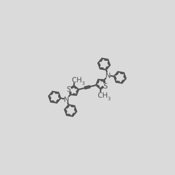 Cc1sc(N(c2ccccc2)c2ccccc2)cc1C#Cc1cc(N(c2ccccc2)c2ccccc2)sc1C